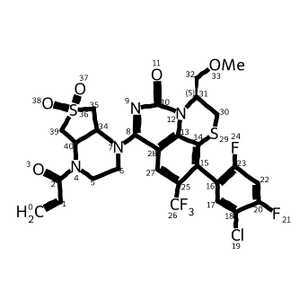 C=CC(=O)N1CCN(c2nc(=O)n3c4c(c(-c5cc(Cl)c(F)cc5F)c(C(F)(F)F)cc24)SC[C@@H]3COC)C2CS(=O)(=O)CC21